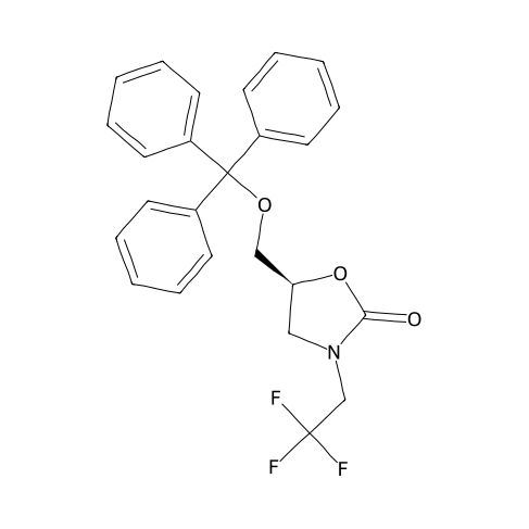 O=C1O[C@H](COC(c2ccccc2)(c2ccccc2)c2ccccc2)CN1CC(F)(F)F